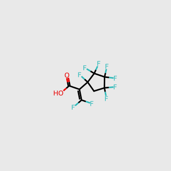 O=C(O)C(=C(F)F)C1(F)CC(F)(F)C(F)(F)C1(F)F